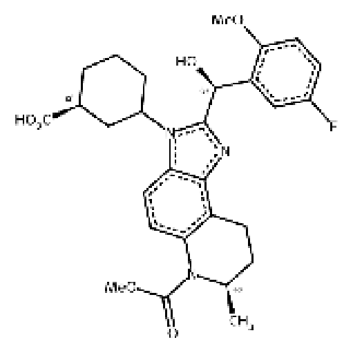 COC(=O)N1c2ccc3c(nc([C@@H](O)c4cc(F)ccc4OC)n3C3CCC[C@H](C(=O)O)C3)c2CC[C@H]1C